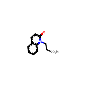 CCOC(=O)CCn1c(=O)ccc2ccccc21